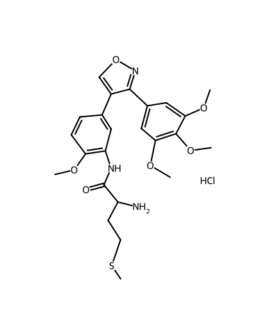 COc1ccc(-c2conc2-c2cc(OC)c(OC)c(OC)c2)cc1NC(=O)C(N)CCSC.Cl